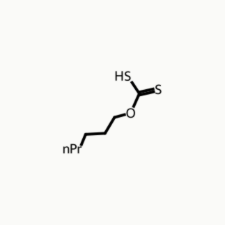 CCCCCCOC(=S)S